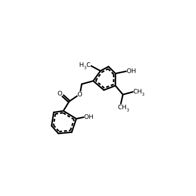 Cc1cc(O)c(C(C)C)cc1COC(=O)c1ccccc1O